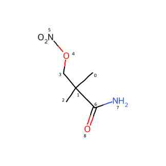 CC(C)(CO[N+](=O)[O-])C(N)=O